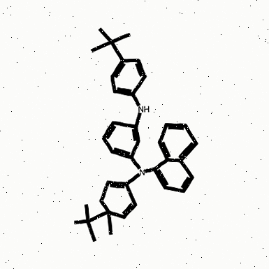 CC(C)(C)c1ccc(Nc2cccc(N(C3=CCC(C)(C(C)(C)C)C=C3)c3cccc4ccccc34)c2)cc1